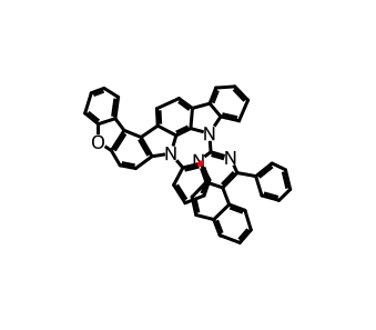 c1ccc(-c2nc(-n3c4ccccc4c4ccc5c6c7c(ccc6n(-c6ccccc6)c5c43)oc3ccccc37)nc3ccc4ccccc4c23)cc1